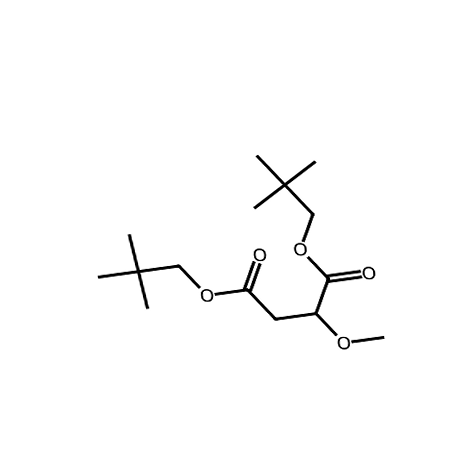 COC(CC(=O)OCC(C)(C)C)C(=O)OCC(C)(C)C